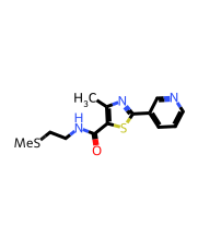 CSCCNC(=O)c1sc(-c2cccnc2)nc1C